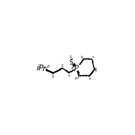 CC(C)CCCP1(=S)CCCCC1